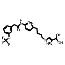 O=C(Cc1cccc(OC(F)(F)F)c1)Nc1ccc(CCCCn2cc(C(O)O)nn2)nn1